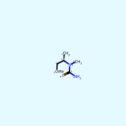 COC[C@@H](C)N(C)C(N)=S